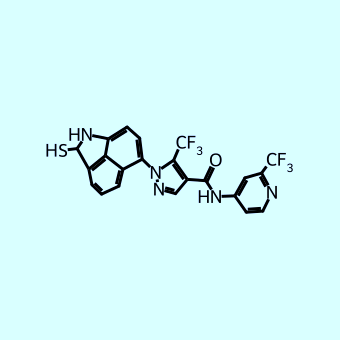 O=C(Nc1ccnc(C(F)(F)F)c1)c1cnn(-c2ccc3c4c(cccc24)C(S)N3)c1C(F)(F)F